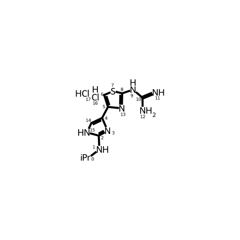 CC(C)Nc1nc(-c2csc(NC(=N)N)n2)c[nH]1.Cl.Cl